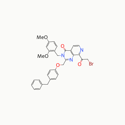 COc1ccc(Cn2c(COc3ccc(Cc4ccccc4)cc3)nc3c(C(=O)CBr)nccc3c2=O)c(OC)c1